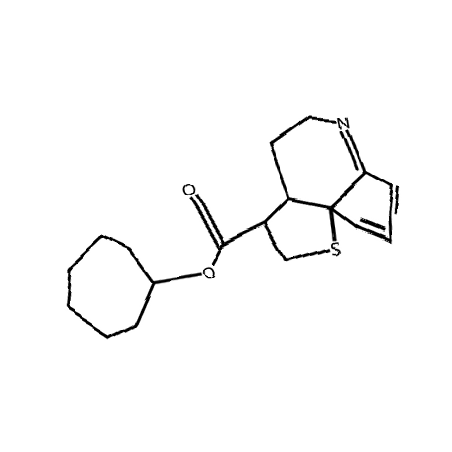 O=C(OC1CCCCCC1)C1CSC23C=CC=CC2=NCCC13